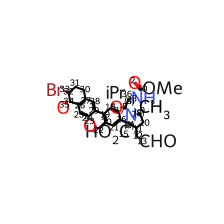 COC(=O)N[C@H](C(=O)N1[C@@H](C)CC(CC=O)[C@@]1(C(=O)O)c1ccc2c(c1)COc1cc3c(cc1-2)CCC(Br)C3=O)C(C)C